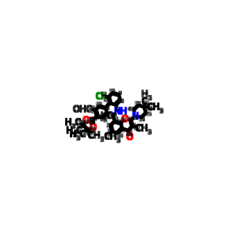 Cc1cc([C@@H](C)Nc2cccc(Cl)c2-c2ccc(B3OC(C)(C)C(C)(C)O3)c(C=O)c2)c2oc(N3CCC(C)(C)CC3)c(C)c(=O)c2c1